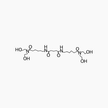 O=C(CCCC(=O)NCCCCCC(=O)N(CCO)CCO)NCCCCCC(=O)N(CCO)CCO